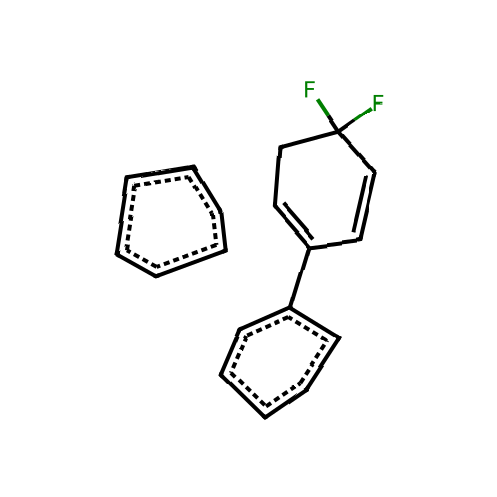 FC1(F)C=CC(c2ccccc2)=CC1.c1ccccc1